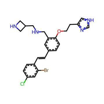 Clc1ccc(/C=C/c2ccc(OCCc3c[nH]cn3)c(CNCC3CNC3)c2)c(Br)c1